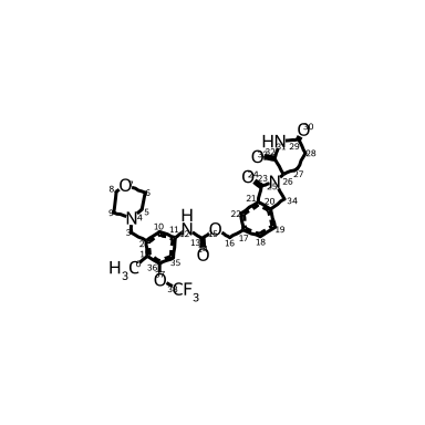 Cc1c(CN2CCOCC2)cc(NC(=O)OCc2ccc3c(c2)C(=O)N(C2CCC(=O)NC2=O)C3)cc1OC(F)(F)F